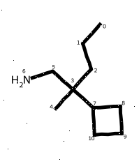 CCCC(C)(CN)C1CCC1